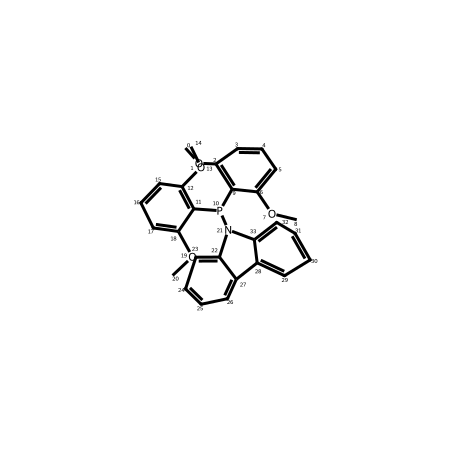 COc1cccc(OC)c1P(c1c(OC)cccc1OC)n1c2ccccc2c2ccccc21